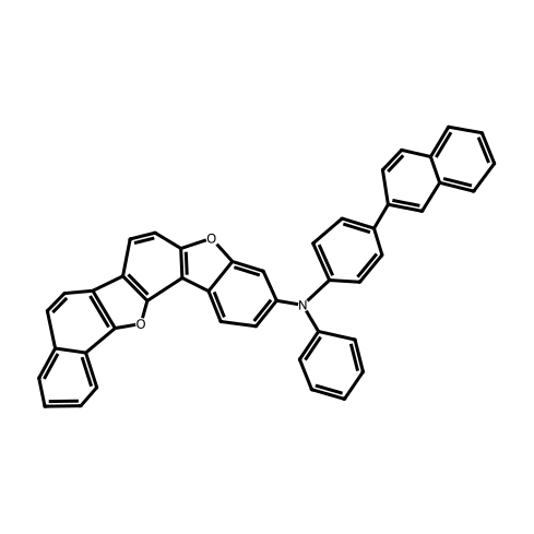 c1ccc(N(c2ccc(-c3ccc4ccccc4c3)cc2)c2ccc3c(c2)oc2ccc4c5ccc6ccccc6c5oc4c23)cc1